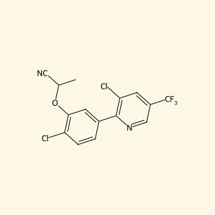 CC(C#N)Oc1cc(-c2ncc(C(F)(F)F)cc2Cl)ccc1Cl